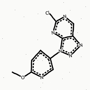 COc1ccc(-n2nnc3cnc(Cl)nc32)cn1